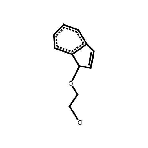 ClCCOC1C=Cc2c[c]ccc21